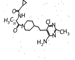 Cc1nc(N)c(CCC2CCN(C(=O)[C@H](C)NC(=O)C3CC3)CC2)c(Cl)n1